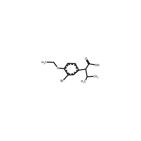 CCOc1ccc(C(C(=O)O)C(C)C)cc1Br